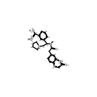 CN(C(=O)Cc1ccc2ncc(=O)[nH]c2c1)C(CN1CC[C@H](O)C1)c1cccc(C(N)=O)c1